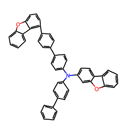 c1ccc(-c2ccc(N(c3ccc(-c4ccc(-c5cccc6oc7ccccc7c56)cc4)cc3)c3ccc4c(c3)oc3ccccc34)cc2)cc1